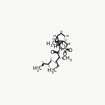 C=CCC[C@@H](CC)[C@@H](C)C(=O)N1[C@H]2CC3CC[C@@]2(CS1(=O)=O)C3(C)C